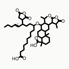 CCC/C=C/C(CCC(CCCCCCCCC(=O)O)OC1C2CCC3C(C)(C(=O)O)CCCC3(C)C2CC(C2C(=O)OC(=O)C2C)C1C(C)C)C1CC(=O)OC1=O